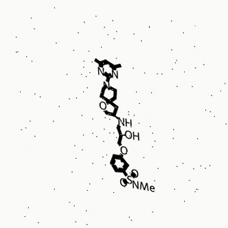 CNS(=O)(=O)c1cccc(OC[C@@H](O)CN[C@H]2COC3(CCN(c4nc(C)cc(C)n4)CC3)C2)c1